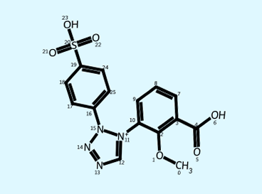 COc1c(C(=O)O)cccc1-[n+]1cnnn1-c1ccc(S(=O)(=O)O)cc1